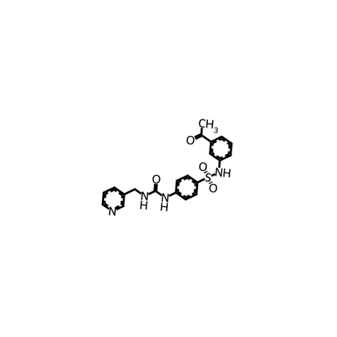 CC(=O)c1cccc(NS(=O)(=O)c2ccc(NC(=O)NCc3cccnc3)cc2)c1